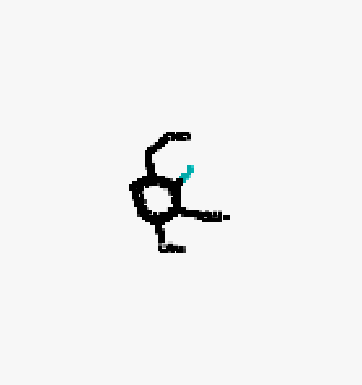 COc1ccc(CC=O)c(F)c1OC